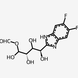 O=COC(O)[C@@H](O)C(O)[C@H](O)c1nc2cc(F)c(F)cc2[nH]1